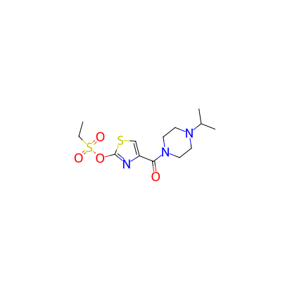 CCS(=O)(=O)Oc1nc(C(=O)N2CCN(C(C)C)CC2)cs1